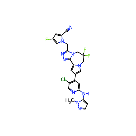 Cn1nccc1Nc1cc(-c2cc3n(c2)CC(F)(F)Cn2c(Cn4cc(F)cc4C#N)nnc2-3)c(Cl)cn1